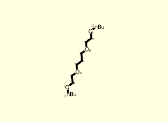 CCCCOCCOC[CH]COCCOCCCC